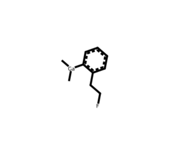 [CH3][Ga]([CH3])[c]1ccccc1CCF